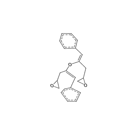 C(=C(CC1CO1)OC(=Cc1ccccc1)CC1CO1)c1ccccc1